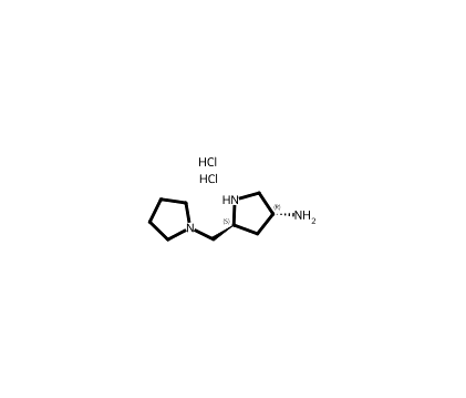 Cl.Cl.N[C@H]1CN[C@H](CN2CCCC2)C1